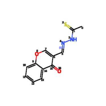 CC(=S)N/N=C/c1coc2ccccc2c1=O